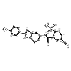 Cc1ccc(-n2nc3ccc(NC(=O)c4cc(C#N)cnc4S(C)(=O)=O)cc3n2)cc1